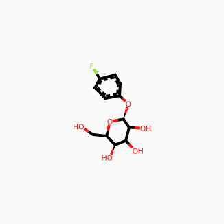 OCC1O[C@@H](Oc2ccc(F)cc2)C(O)C(O)[C@H]1O